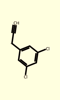 C#C[CH]c1cc(Cl)cc(Cl)c1